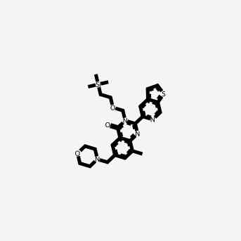 Cc1cc(CN2CCOCC2)cc2c(=O)n(COCC[Si](C)(C)C)c(-c3cc4ccsc4cn3)nc12